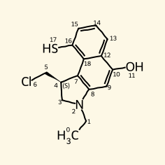 CCN1C[C@@H](CCl)c2c1cc(O)c1cccc(S)c21